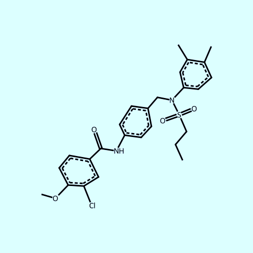 CCCS(=O)(=O)N(Cc1ccc(NC(=O)c2ccc(OC)c(Cl)c2)cc1)c1ccc(C)c(C)c1